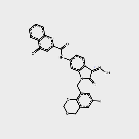 O=C(Nc1ccc2c(c1)N(Cc1cc(F)cc3c1OCOC3)C(=O)/C2=N\O)c1cc(=O)c2ccccc2o1